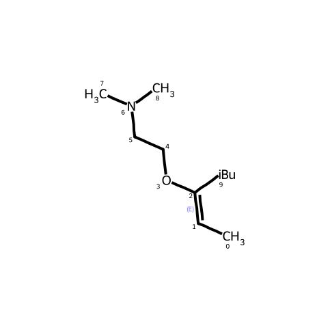 C/C=C(/OCCN(C)C)C(C)CC